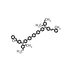 CCc1ccc(N(c2ccc(/C=C/c3ccccc3C)cc2)c2ccc(-c3ccc(-c4ccc(-c5ccc(-c6ccc(N(c7ccc(/C=C/c8ccccc8C)cc7)c7ccc(CC)cc7CC)cc6)cc5)cc4)cc3)cc2)c(CC)c1